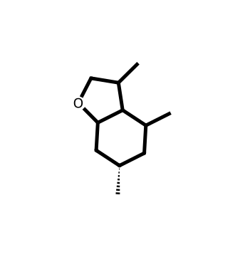 CC1COC2C[C@@H](C)CC(C)C12